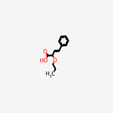 CCCOC(C=Cc1ccccc1)C(=O)O